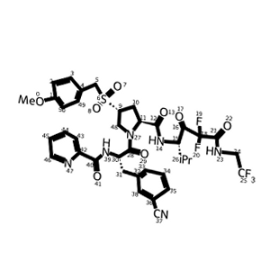 COc1ccc(CS(=O)(=O)[C@@H]2C[C@@H](C(=O)N[C@H](C(=O)C(F)(F)C(=O)NCC(F)(F)F)C(C)C)N(C(=O)[C@H](Cc3cccc(C#N)c3)NC(=O)c3ccccn3)C2)cc1